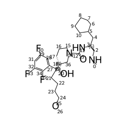 CNC[C@H](CC1CCCCC1)NC(=O)N1CCC[C@@H]([C@@](O)(CCCCOC)c2cc(F)cc(F)c2F)C1